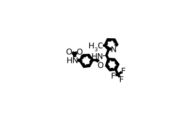 Cc1cccnc1[C@@H](NC(=O)c1ccc2[nH]c(=O)oc2c1)c1ccc(C(F)(F)F)cc1